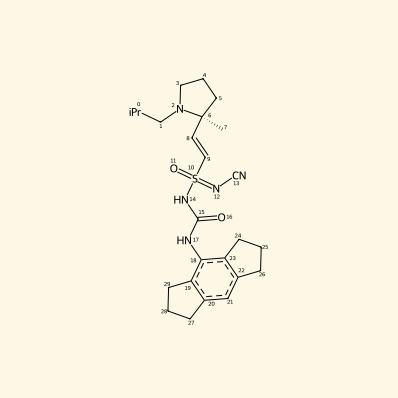 CC(C)CN1CCC[C@@]1(C)/C=C/S(=O)(=NC#N)NC(=O)Nc1c2c(cc3c1CCC3)CCC2